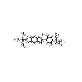 CC(C)(C)c1nc2cc3nc(-c4cc(O)c(C(C)(C)C)cc4O)sc3cc2s1